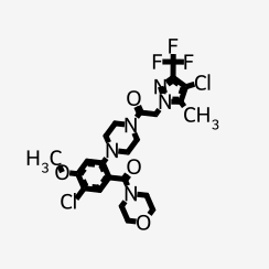 COc1cc(N2CCN(C(=O)Cn3nc(C(F)(F)F)c(Cl)c3C)CC2)c(C(=O)N2CCOCC2)cc1Cl